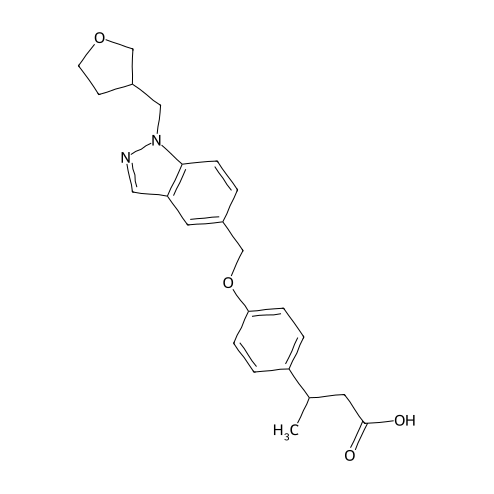 CC(CC(=O)O)c1ccc(OCc2ccc3c(cnn3CC3CCOC3)c2)cc1